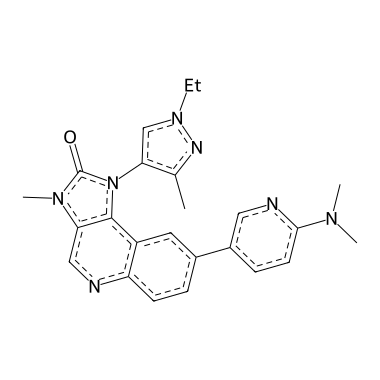 CCn1cc(-n2c(=O)n(C)c3cnc4ccc(-c5ccc(N(C)C)nc5)cc4c32)c(C)n1